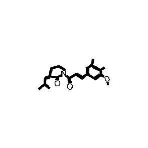 COc1cc(/C=C/C(=O)N2CCC/C(=C/C(C)C)C2=O)cc(C)c1C